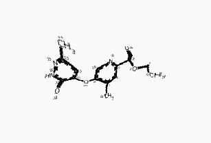 CCOC(=O)c1cc(C)c(Oc2cc(C)n[nH]c2=O)cn1